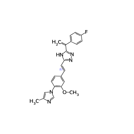 C=C(c1ccc(F)cc1)c1nnc(/C=C/c2ccc(-n3cnc(C)c3)c(OC)c2)[nH]1